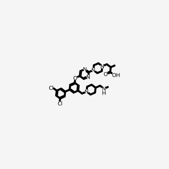 CNCC1CCN(Cc2cc(Oc3cnc(N4CCN(CC(C)C(=O)O)CC4)nc3)cc(-c3cc(Cl)cc(Cl)c3)c2)CC1